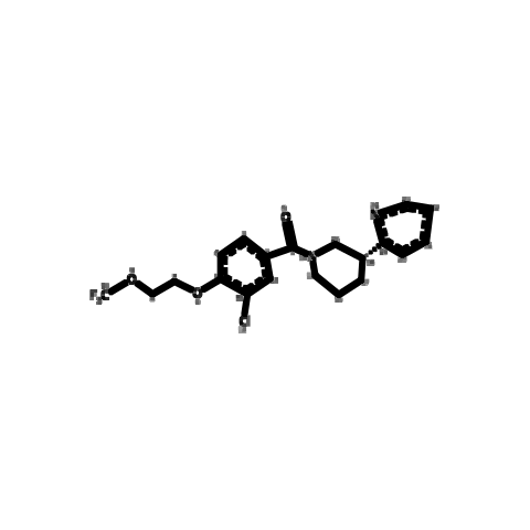 O=C(c1ccc(OCCOC(F)(F)F)c(Cl)c1)N1CCC[C@@H](c2ccccn2)C1